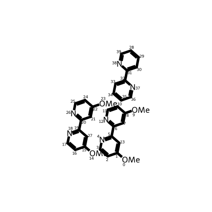 COc1ccnc(-c2cc(OC)ccn2)c1.COc1ccnc(-c2cc(OC)ccn2)c1.c1ccc(-c2ccccn2)nc1